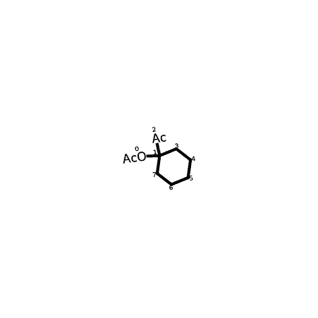 CC(=O)OC1(C(C)=O)CCCCC1